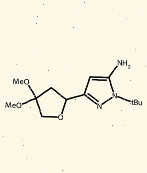 COC1(OC)COC(c2cc(N)n(C(C)(C)C)n2)C1